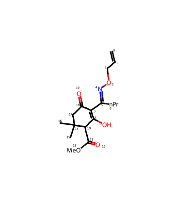 C=CCO/N=C(\CCC)C1=C(O)C(C(=O)OC)C(C)(C)CC1=O